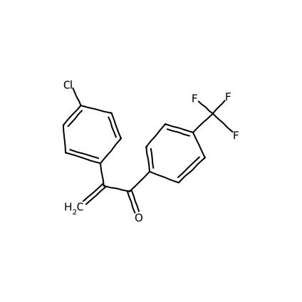 C=C(C(=O)c1ccc(C(F)(F)F)cc1)c1ccc(Cl)cc1